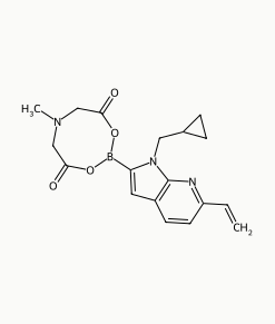 C=Cc1ccc2cc(B3OC(=O)CN(C)CC(=O)O3)n(CC3CC3)c2n1